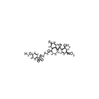 Cc1ccc(S(=O)(=O)OCCCOC2CCCN(C(=O)c3ccc([N+](=O)[O-])cc3C)c3ccc(F)cc32)cc1